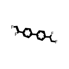 F/C=C(\F)c1ccc(-c2ccc(C(F)CF)cc2)cc1